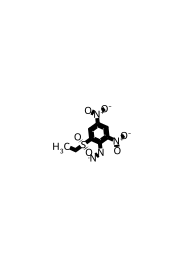 CCS(=O)(=O)c1cc([N+](=O)[O-])cc([N+](=O)[O-])c1N=[N]